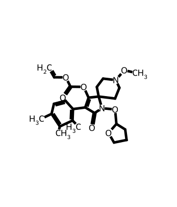 C=COC(=O)OC1=C(c2ccc(C)c(C)c2C)C(=O)N(OC2CCCO2)C12CCN(OC)CC2